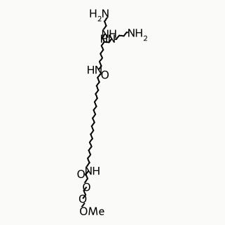 COCCOCCOCCC(=O)NCCCCCCCCCCCCCCCCCCCCCCCC(=O)NCCCCCCC(CNCCCCN)CNCCCCN